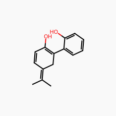 CC(C)=C1C=CC(O)=C(c2ccccc2O)C1